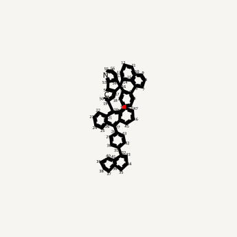 c1ccc2c(c1)-c1cccc3cccc(c13)C21c2cc(-c3c4ccccc4c(-c4ccc(-c5cccc6ccccc56)cc4)c4ccccc34)ccc2-c2ncccc21